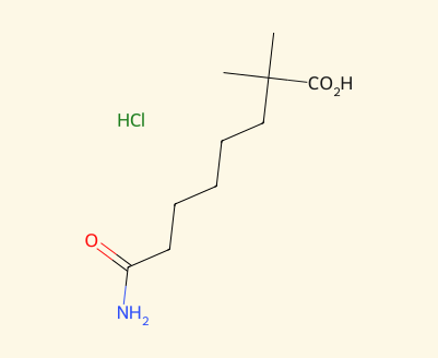 CC(C)(CCCCCC(N)=O)C(=O)O.Cl